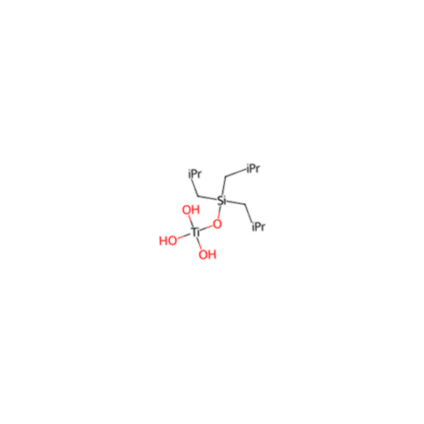 CC(C)C[Si](CC(C)C)(CC(C)C)[O][Ti]([OH])([OH])[OH]